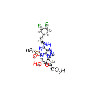 CCC[S+]([O-])c1nc(N[C@@H]2C[C@H]2c2ccc(F)c(F)c2)c2nnn([C@@H]3C[C@H](C(=O)O)O[C@H]3CO)c2n1